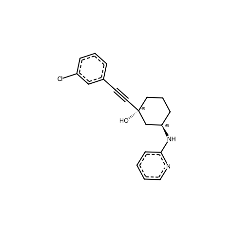 O[C@]1(C#Cc2cccc(Cl)c2)CCC[C@@H](Nc2ccccn2)C1